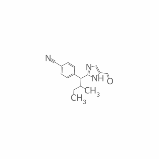 CCC(C)C(c1ccc(C#N)cc1)c1ncc(C=O)[nH]1